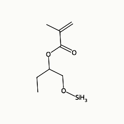 C=C(C)C(=O)OC(CC)CO[SiH3]